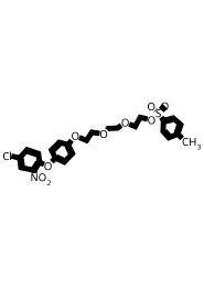 Cc1ccc(S(=O)(=O)OCCOCCOCCOc2ccc(Oc3ccc(Cl)cc3[N+](=O)[O-])cc2)cc1